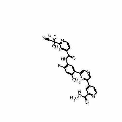 CNC(=O)c1cc(-c2cncc(-c3cc(NC(=O)c4ccnc(C(C)(C)C#N)c4)c(F)cc3C)n2)ccn1